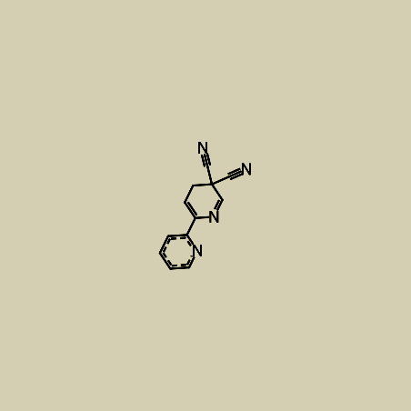 N#CC1(C#N)C=NC(c2ccccn2)=CC1